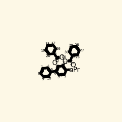 CCCc1ccc(-c2ccccc2)c(OC(=O)c2ccccc2)c1OC(=O)c1ccccc1